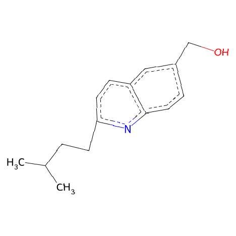 CC(C)CCc1ccc2cc(CO)ccc2n1